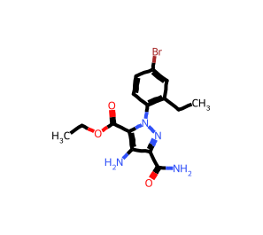 CCOC(=O)c1c(N)c(C(N)=O)nn1-c1ccc(Br)cc1CC